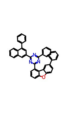 c1ccc(-c2ccc3oc4cccc(-c5nc(-c6ccccc6)nc(-c6cc(-c7ccccc7)c7ccccc7c6)n5)c4c3c2)cc1